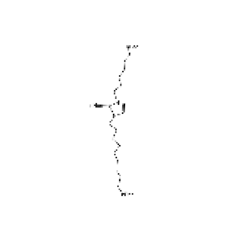 CCCCCCCCCCCCCCCCCCCN1C=CN(CCCCCCCCCCCCCCCC)C1CCCCCCCCC